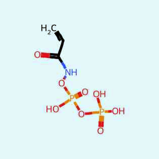 C=CC(=O)NOP(=O)(O)OP(=O)(O)O